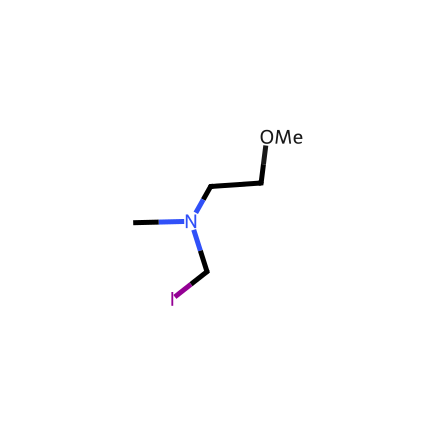 COCCN(C)CI